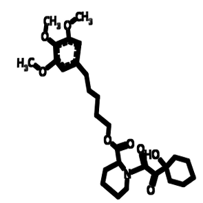 COc1cc(CCCCCOC(=O)C2CCCCN2C(=O)C(=O)C2(O)CCCCC2)cc(OC)c1OC